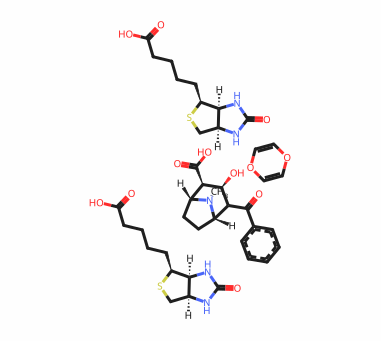 C1=COC=CO1.CN1[C@@H]2CC[C@H]1C(C(=O)c1ccccc1)[C@H](O)[C@@H]2C(=O)O.O=C(O)CCCC[C@@H]1SC[C@@H]2NC(=O)N[C@@H]21.O=C(O)CCCC[C@@H]1SC[C@@H]2NC(=O)N[C@@H]21